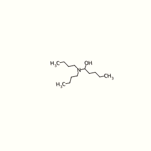 CCCCC(O)N(CCCC)CCCC